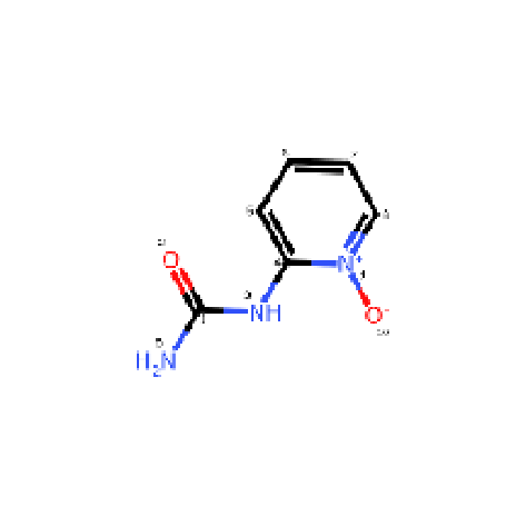 NC(=O)Nc1cccc[n+]1[O-]